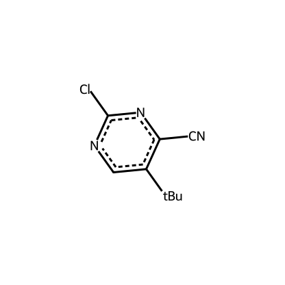 CC(C)(C)c1cnc(Cl)nc1C#N